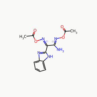 CC(=O)O/N=C(N)/C(=N/OC(C)=O)c1nc2ccccc2[nH]1